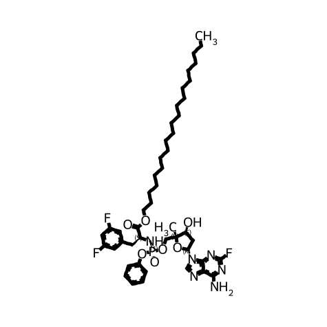 CCCCCCCCCCCCCCCCCCCCCOC(=O)[C@H](Cc1cc(F)cc(F)c1)N[P@](=O)(OC[C@@]1(C)O[C@@H](n2cnc3c(N)nc(F)nc32)C[C@@H]1O)Oc1ccccc1